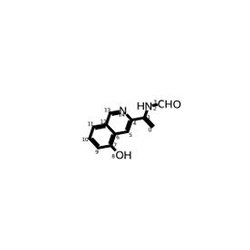 C=C(NC=O)c1cc2c(O)cccc2cn1